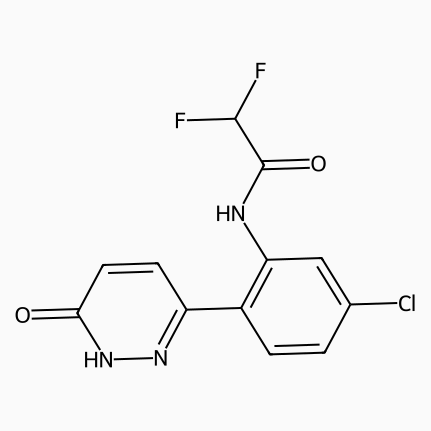 O=C(Nc1cc(Cl)ccc1-c1ccc(=O)[nH]n1)C(F)F